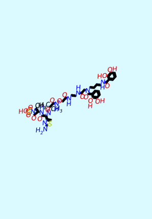 C[C@H]1[C@H](NC(=O)/C(=N\OC(C)(C)C(=O)NOCC(=O)NCCNC(=O)CN(CCCCNC(=O)c2cccc(O)c2O)C(=O)c2cccc(O)c2O)c2csc(N)n2)C(=O)N1S(=O)(=O)O